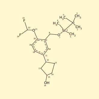 CC(C)(C)[Si](C)(C)OCc1cc(C2CCC(O)C2)ccc1OC(F)F